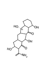 C=C(N)C1C(=O)C2C(CC1O)CC1C(C(=O)C3C(O)CCCC3[C@H]1O)C2O